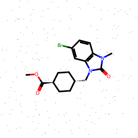 COC(=O)[C@H]1CC[C@H](Cn2c(=O)n(C)c3ccc(Br)cc32)CC1